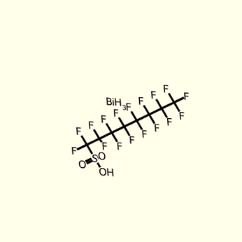 O=S(=O)(O)C(F)(F)C(F)(F)C(F)(F)C(F)(F)C(F)(F)C(F)(F)C(F)(F)C(F)(F)F.[BiH3]